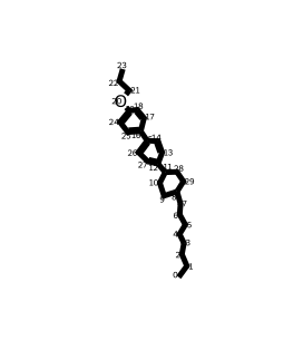 CCCCCCCCC1CCC(c2ccc(-c3ccc(OCCC)cc3)cc2)CC1